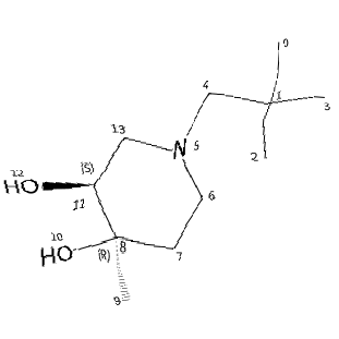 CC(C)(C)CN1CC[C@@](C)(O)[C@@H](O)C1